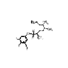 CCC(C)CCC(C)C(C)CCC(C)C(F)(F)Oc1cc(F)c(F)c(F)c1